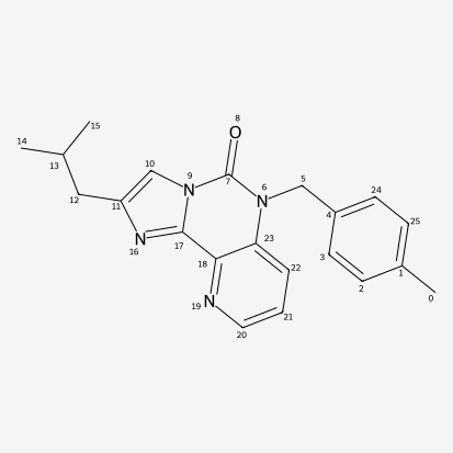 Cc1ccc(Cn2c(=O)n3cc(CC(C)C)nc3c3ncccc32)cc1